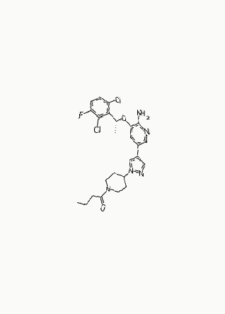 CCCC(=O)N1CCC(n2cc(-c3cnc(N)c(O[C@H](C)c4c(Cl)ccc(F)c4Cl)c3)cn2)CC1